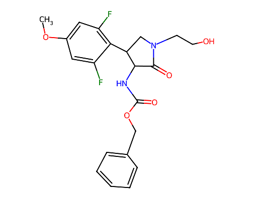 COc1cc(F)c(C2CN(CCO)C(=O)C2NC(=O)OCc2ccccc2)c(F)c1